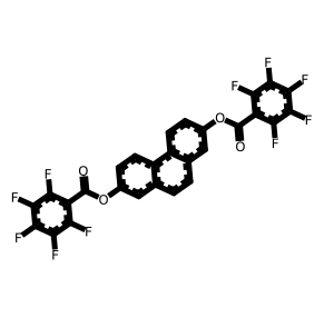 O=C(Oc1ccc2c(ccc3cc(OC(=O)c4c(F)c(F)c(F)c(F)c4F)ccc32)c1)c1c(F)c(F)c(F)c(F)c1F